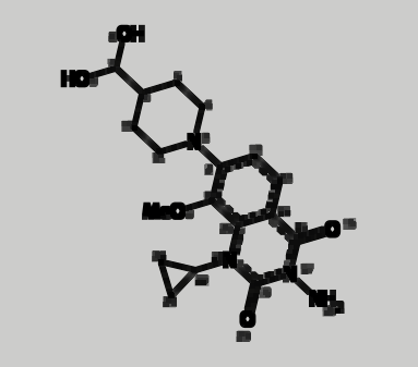 COc1c(N2CCC(C(O)O)CC2)ccc2c(=O)n(N)c(=O)n(C3CC3)c12